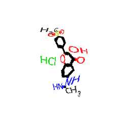 CC(=N)Nc1ccc2oc(-c3ccc(S(C)(=O)=O)cc3)c(O)c(=O)c2c1.Cl